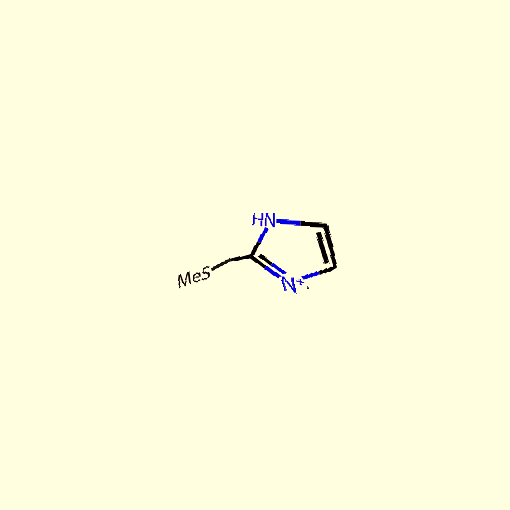 CSC1=[N+]C=CN1